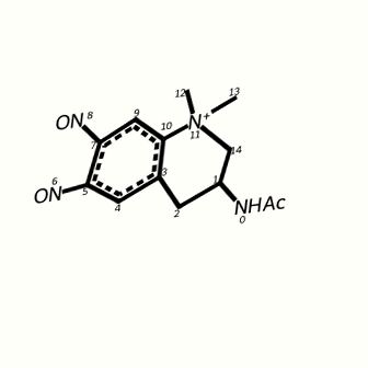 CC(=O)NC1Cc2cc(N=O)c(N=O)cc2[N+](C)(C)C1